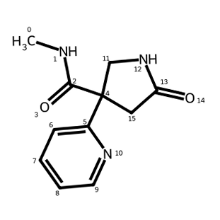 CNC(=O)C1(c2ccccn2)CNC(=O)C1